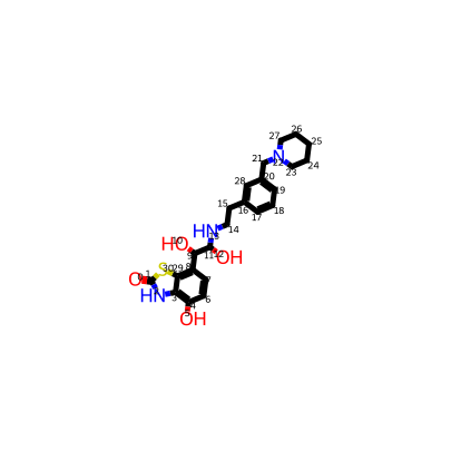 O=c1[nH]c2c(O)ccc(C(O)C(O)NCCc3cccc(CN4CCCCC4)c3)c2s1